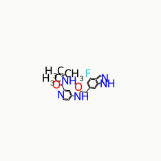 CC(C)(C)NC(=O)c1cc(NC(=O)Cc2cc(F)c3cn[nH]c3c2)ccn1